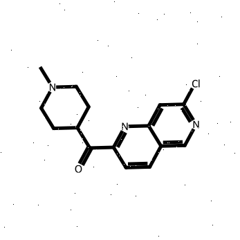 CN1CCC(C(=O)c2ccc3cnc(Cl)cc3n2)CC1